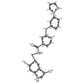 O=C(NCc1cc2c(Cl)c[nH]c2cc1F)c1ccnc(Cc2cccc(-n3cccn3)c2)c1